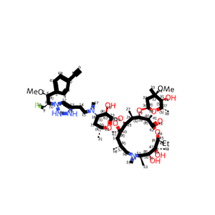 C#Cc1ccc([C@@H](OC)[C@@H](CF)N2C=C(CCN(C)[C@H]3C[C@@H](C)O[C@@H](O[C@@H]4[C@@H](C)[C@H](O[C@H]5C[C@@](C)(OC)[C@@H](O)[C@H](C)O5)[C@@H](C)C(=O)O[C@H](CC)[C@@](C)(O)[C@H](O)[C@@H](C)N(C)C[C@H](C)C[C@@]4(C)O)[C@@H]3O)NN2)cc1